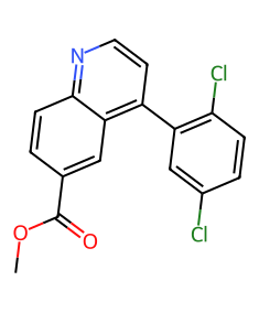 COC(=O)c1ccc2nccc(-c3cc(Cl)ccc3Cl)c2c1